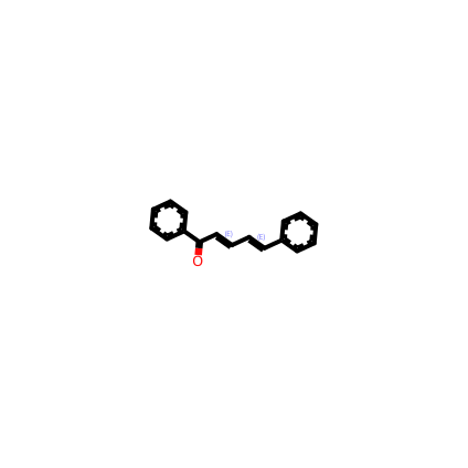 O=C(/C=C/C=C/c1ccccc1)c1ccccc1